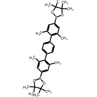 Cc1cc(B2OC(C)(C)C(C)(C)O2)cc(C)c1-c1ccc(-c2c(C)cc(B3OC(C)(C)C(C)(C)O3)cc2C)cc1